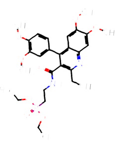 CCOP(=O)(CCNC(=O)c1c(CC)nc2cc(OC)c(OC)cc2c1-c1ccc(OC)c(OC)c1)OCC